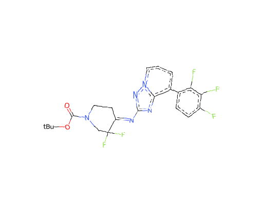 CC(C)(C)OC(=O)N1CCC(=Nc2nc3c(-c4ccc(F)c(F)c4F)cccn3n2)C(F)(F)C1